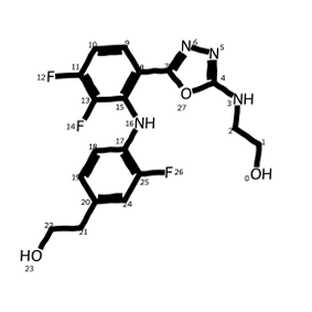 OCCNc1nnc(-c2ccc(F)c(F)c2Nc2ccc(CCO)cc2F)o1